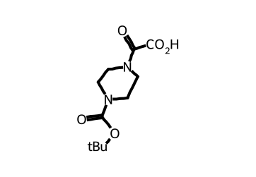 CC(C)(C)OC(=O)N1CCN(C(=O)C(=O)O)CC1